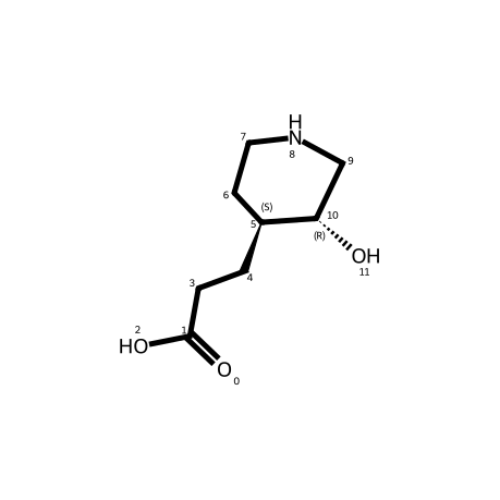 O=C(O)CC[C@H]1CCNC[C@@H]1O